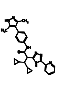 Cc1n[nH]c(C)c1-c1ccc(NC(=O)C(c2nnc(-c3ccccn3)[nH]2)C(C2CC2)C2CC2)cc1